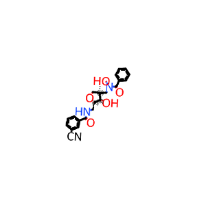 C[C@@]1(CN(O)C(=O)c2ccccc2)CO[C@H](CNC(=O)c2cccc(C#N)c2)[C@H]1O